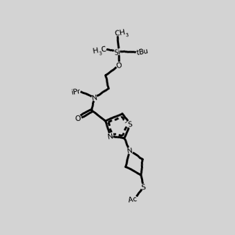 CC(=O)SC1CN(c2nc(C(=O)N(CCO[Si](C)(C)C(C)(C)C)C(C)C)cs2)C1